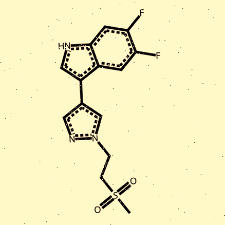 CS(=O)(=O)CCn1cc(-c2c[nH]c3cc(F)c(F)cc23)cn1